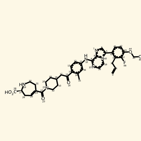 C=CCc1c(-c2cnc3c(Nc4ccc(C(=O)CC5CCN(C(=O)C6=CC[C@@H](C(=O)O)NCC6)CC5)c(C)c4)nccn23)ccc(OCC#N)c1F